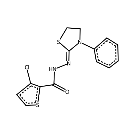 O=C(N/N=C1\SCCN1c1ccccc1)c1sccc1Cl